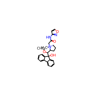 C[N+]1(CC(=O)Nc2ccon2)CCCC1C(OC=O)C1(O)c2ccccc2-c2ccccc21